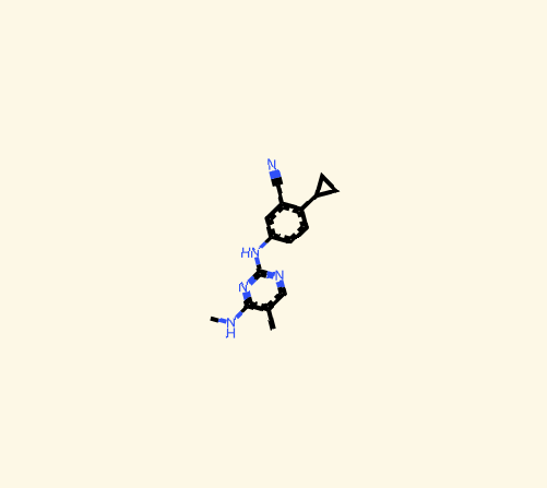 CNc1nc(Nc2ccc(C3CC3)c(C#N)c2)ncc1C